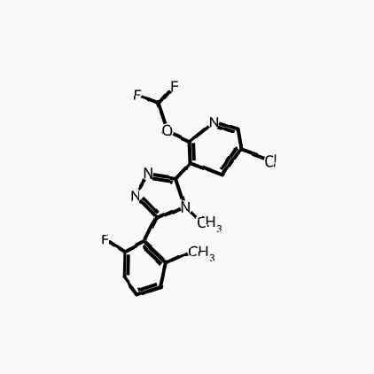 Cc1cccc(F)c1-c1nnc(-c2cc(Cl)cnc2OC(F)F)n1C